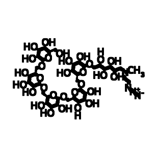 CN(CCN=[N+]=[N-])CC(O)[C@@H](O)[C@H](O)[C@H](O)COC1O[C@H](CO[C@@H]2O[C@H](CO[C@@H]3O[C@H](CO[C@@H]4O[C@H](CO[C@@H]5O[C@H](CO)[C@@H](O)[C@H](O)[C@H]5O)[C@@H](O)[C@H](O)[C@H]4O)[C@@H](O)[C@H](O)[C@H]3O)[C@@H](O)[C@H](O)[C@H]2O)[C@@H](O)[C@H](O)[C@H]1O